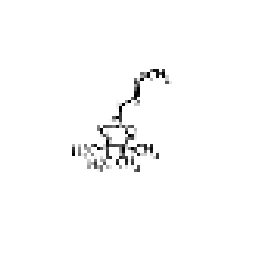 CC=CCB1OC(C)(C)C(C)(C)O1